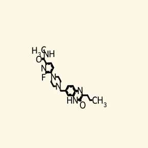 CCCc1nc2ccc(CN3CCN(c4ccc(C(=O)NC)nc4F)CC3)cc2[nH]c1=O